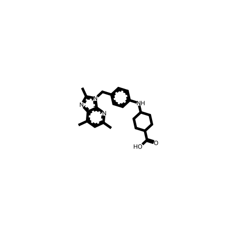 Cc1cc(C)c2nc(C)n(Cc3ccc(NC4CCC(C(=O)O)CC4)cc3)c2n1